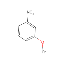 CC(C)Oc1cccc([N+](=O)[O-])c1